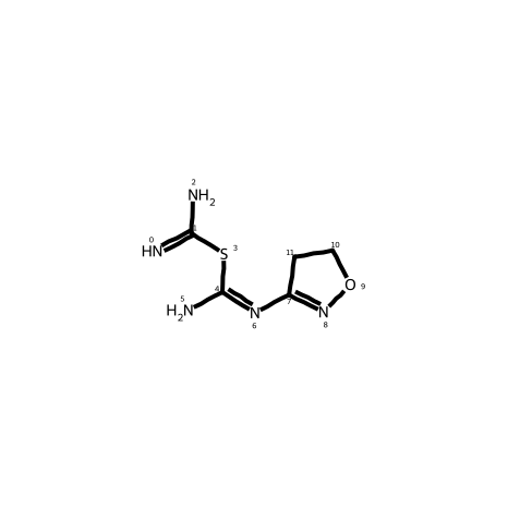 N=C(N)SC(N)=NC1=NOCC1